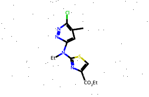 CCOC(=O)c1csc(N(CC)c2cc(C)c(Cl)nn2)n1